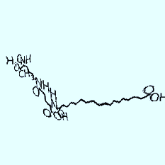 CNC(CCCCNC(=O)CCC(NC(=O)CCCCCCCCCCCCCCCCC(=O)O)C(=O)O)C(C)=O